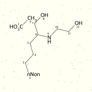 CC(=O)O.CCCCCCCCCCCCC(CO)NCCO